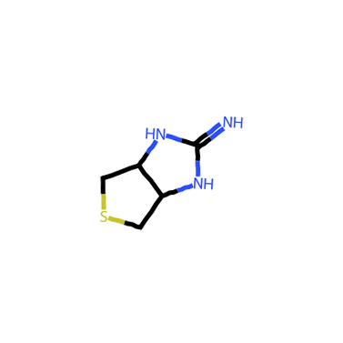 N=C1NC2CSCC2N1